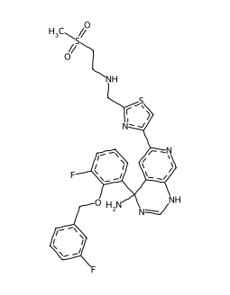 CS(=O)(=O)CCNCc1nc(-c2cc3c(cn2)NC=NC3(N)c2cccc(F)c2OCc2cccc(F)c2)cs1